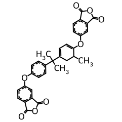 CC1CC(C(C)(C)c2ccc(Oc3ccc4c(c3)C(=O)OC4=O)cc2)=CC=C1Oc1ccc2c(c1)C(=O)OC2=O